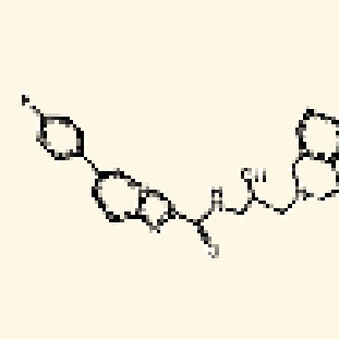 O=C(NCC(O)CN1CCc2ccccc2C1)c1cn2cc(-c3ccc(F)cc3)ccc2n1